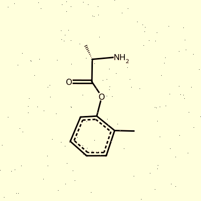 Cc1ccccc1OC(=O)[C@H](C)N